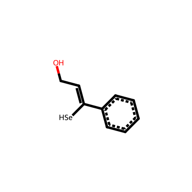 OCC=C([SeH])c1ccccc1